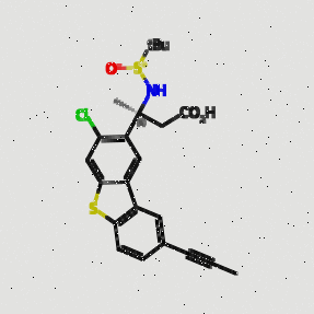 CC#Cc1ccc2sc3cc(Cl)c([C@](C)(CC(=O)O)N[S+]([O-])C(C)(C)C)cc3c2c1